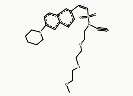 COCCOCCOCCN(C#N)S(=O)(=O)/C=C\c1ccc2cc(N3CCCCC3)ccc2c1